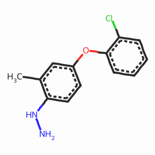 Cc1cc(Oc2ccccc2Cl)ccc1NN